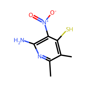 Cc1nc(N)c([N+](=O)[O-])c(S)c1C